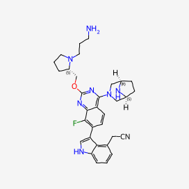 N#CCc1cccc2[nH]cc(-c3ccc4c(N5C[C@H]6CC[C@@H](C5)N6)nc(OC[C@@H]5CCCN5CCCN)nc4c3F)c12